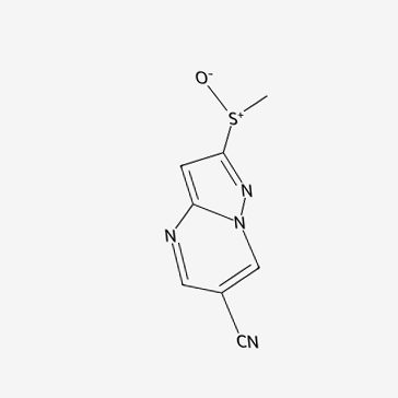 C[S+]([O-])c1cc2ncc(C#N)cn2n1